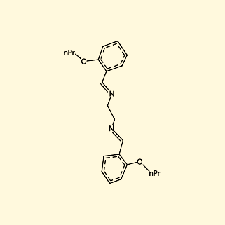 CCCOc1ccccc1C=NCCN=Cc1ccccc1OCCC